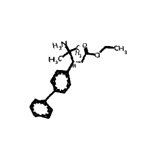 CCOC(=O)C[C@H](c1ccc(-c2ccccc2)cc1)C(C)(C)N